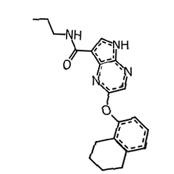 CCCNC(=O)c1c[nH]c2ncc(Oc3cccc4c3CCCC4)nc12